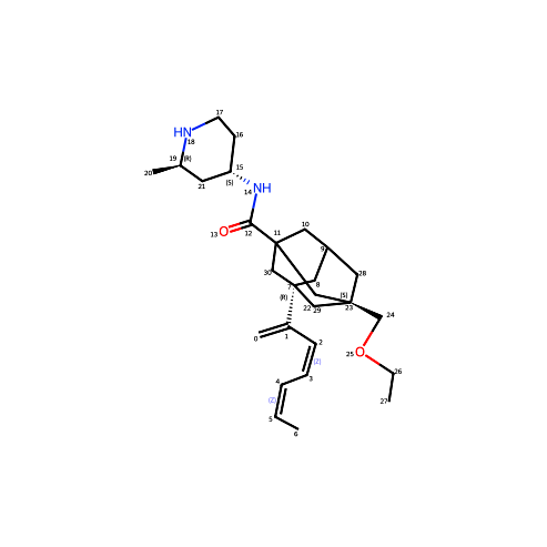 C=C(/C=C\C=C/C)[C@]12CC3CC(C(=O)N[C@H]4CCN[C@H](C)C4)(C[C@](COCC)(C3)C1)C2